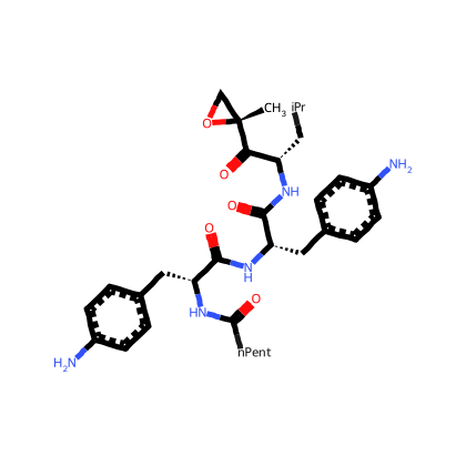 CCCCCC(=O)N[C@H](Cc1ccc(N)cc1)C(=O)N[C@@H](Cc1ccc(N)cc1)C(=O)N[C@@H](CC(C)C)C(=O)[C@@]1(C)CO1